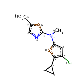 CN(c1cc(Cl)c(C2CC2)s1)c1ncc(C(=O)O)s1